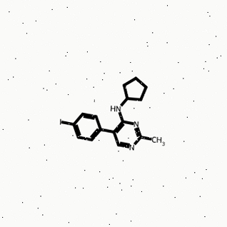 Cc1ncc(-c2ccc(I)cc2)c(NC2CCCC2)n1